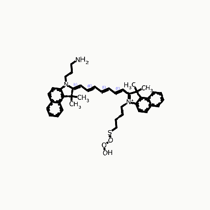 CC1(C)C(/C=C/C=C/C=C/C=C2/N(CCCN)c3ccc4ccccc4c3C2(C)C)=[N+](CCCCSOOO)c2ccc3ccccc3c21